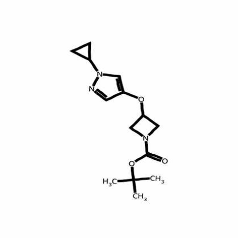 CC(C)(C)OC(=O)N1CC(Oc2cnn(C3CC3)c2)C1